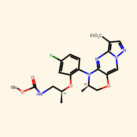 CCOC(=O)c1cnn2cc3c(nc12)N(c1ccc(F)cc1O[C@@H](C)CNC(=O)OC(C)(C)C)[C@H](C)CO3